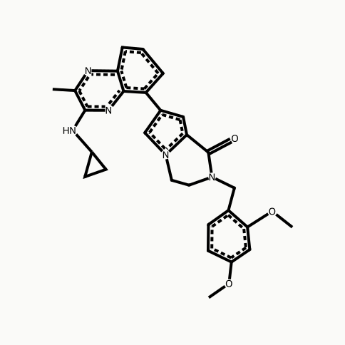 COc1ccc(CN2CCn3cc(-c4cccc5nc(C)c(NC6CC6)nc45)cc3C2=O)c(OC)c1